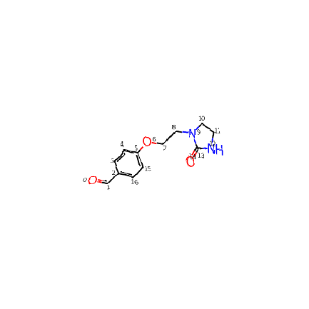 O=Cc1ccc(OCCN2CCNC2=O)cc1